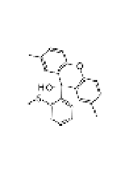 CSc1ccccc1C1(O)c2cc(C)ccc2Oc2ccc(C)cc21